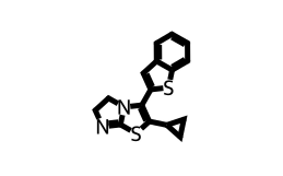 c1ccc2sc(C3=C(C4CC4)SC4=NCCN43)cc2c1